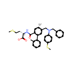 CSCC[C@H](NC(=O)c1ccc(CN(Cc2ccccc2)c2ccc(SC)cc2)cc1-c1ccccc1C)C(=O)[O-].[Li+]